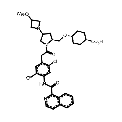 COC1CN([C@H]2C[C@@H](CO[C@H]3CC[C@H](C(=O)O)CC3)N(C(=O)Cc3cc(Cl)c(NC(=O)c4nccc5ccccc45)cc3Cl)C2)C1